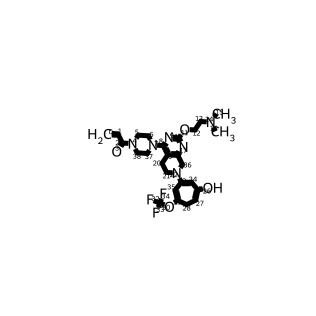 C=CC(=O)N1CCN(c2nc(OCCN(C)C)nc3c2CCN(C2=CC(O)=CCC(OC(F)(F)F)=C2)C3)CC1